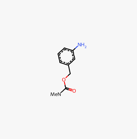 CNC(=O)OCc1cccc(N)c1